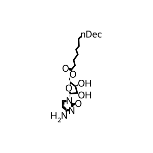 CCCCCCCCCCCCCCCCC(=O)OC[C@H]1O[C@@H](n2ccc(N)nc2=O)[C@H](O)[C@@H]1O